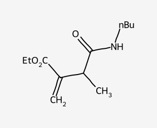 C=C(C(=O)OCC)C(C)C(=O)NCCCC